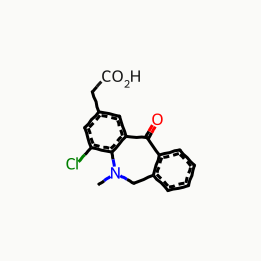 CN1Cc2ccccc2C(=O)c2cc(CC(=O)O)cc(Cl)c21